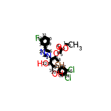 CCOC(=O)CO[C@H]1C[SH](c2ccc(Cl)c(Cl)c2)[C@H](CO)[C@H](O)[C@@H]1n1cnc(-c2cccc(F)c2)c1